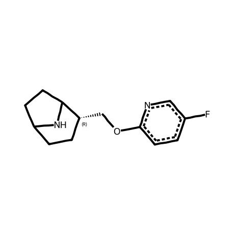 Fc1ccc(OC[C@@H]2CCC3CCC2N3)nc1